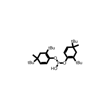 CC(C)(C)C1=C(OP(O)OC2=C(C(C)(C)C)CC(C)(C(C)(C)C)C=C2)C=CC(C)(C(C)(C)C)C1